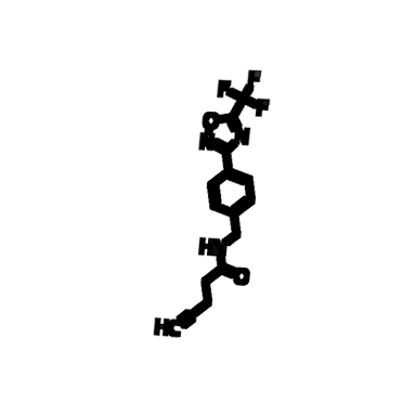 C#CCCC(=O)NCc1ccc(-c2noc(C(F)(F)F)n2)cc1